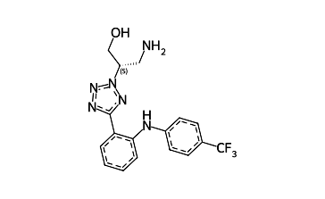 NC[C@@H](CO)n1nnc(-c2ccccc2Nc2ccc(C(F)(F)F)cc2)n1